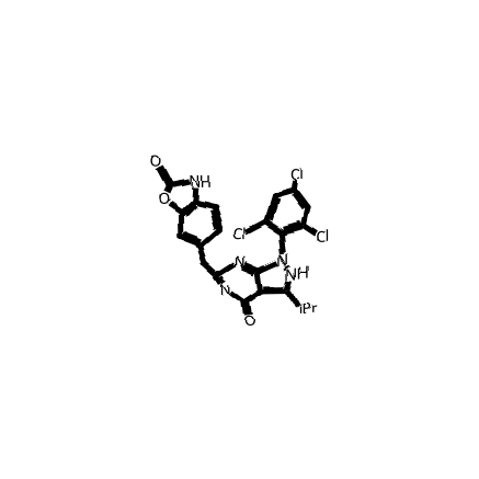 CC(C)c1[nH]n(-c2c(Cl)cc(Cl)cc2Cl)c2nc(Cc3ccc4[nH]c(=O)oc4c3)nc(=O)c1-2